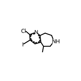 CC1CNCCc2nc(Cl)c(I)cc21